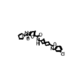 N=S(=O)(c1ccc(C(=O)NC2CC3(C2)CC(c2nc4cc(Cl)ccc4o2)C3)o1)N1CCCC1